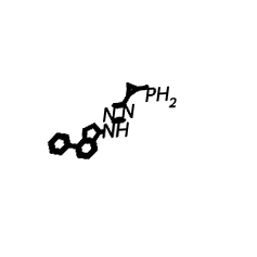 PCC1CC1c1cnc(NC2CCc3c(-c4ccccc4)cccc32)cn1